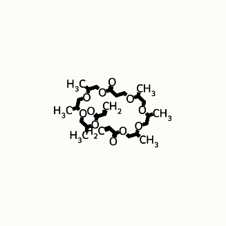 C=CC(=O)OCC(C)OCC(C)OCC(C)OCCC(=O)OCC(C)OCC(C)OCC(C)OC(=O)C=C